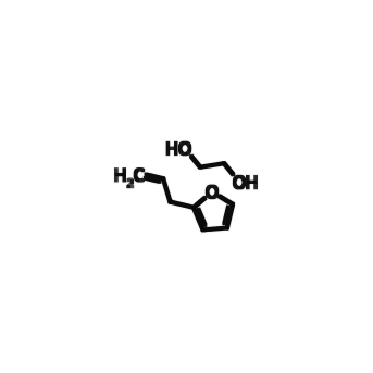 C=CCc1ccco1.OCCO